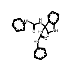 O=C(Nc1ccccc1)NC1(NC(=O)Nc2ccccc2)C(=O)Nc2ccccc21